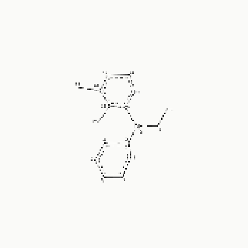 CCN(c1ccccc1)c1cccc(C)c1C